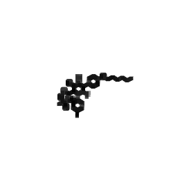 CCCCCCOc1ccc(-c2[nH]c(=O)c(C(=O)NS(C)(=O)=O)c(-c3ccc(C)cc3)c2F)cc1